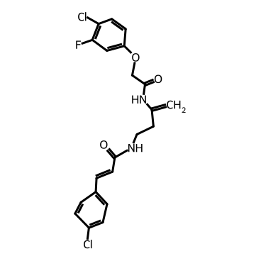 C=C(CCNC(=O)/C=C/c1ccc(Cl)cc1)NC(=O)COc1ccc(Cl)c(F)c1